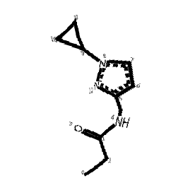 CCC(=O)Nc1ccn(C2CC2)n1